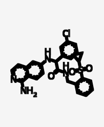 Nc1nccc2cc(NC(C(=O)NCc3ccccc3S(=O)(=O)C3CC3)c3cccc(Cl)c3)ccc12